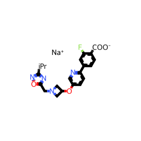 CC(C)c1noc(CN2CC(Oc3ccc(-c4ccc(C(=O)[O-])c(F)c4)nc3)C2)n1.[Na+]